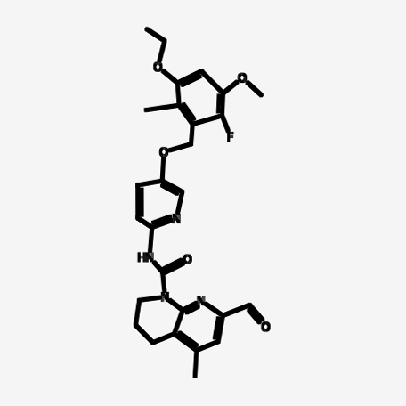 CCOc1cc(OC)c(F)c(COc2ccc(NC(=O)N3CCCc4c(C)cc(C=O)nc43)nc2)c1C